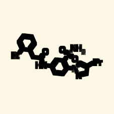 CCc1ccccc1CC(=O)Nc1ccc(-n2cc(C(C)C)cn2)c(S(N)(=O)=O)c1